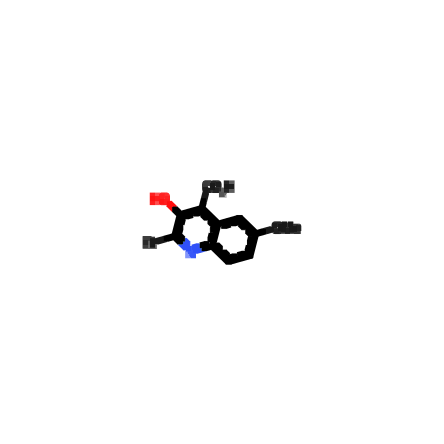 CCc1nc2ccc(OC)cc2c(C(=O)O)c1O